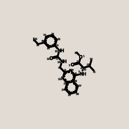 COC(=O)[C@@H](Nc1nc(CNC(=O)Nc2cccc(CI)c2)nc2ccccc12)C(C)C